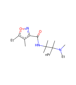 CCCC(C)(N(C)CC)C(C)(C)NC(=O)c1noc(CC)c1C